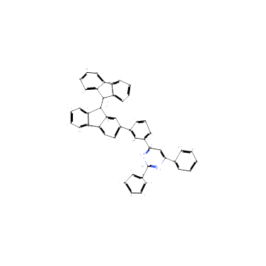 c1ccc(-c2cc(-c3cccc(-c4ccc5c(c4)C(C4c6ccccc6-c6ccccc64)c4ccccc4-5)c3)nc(-c3ccccc3)n2)cc1